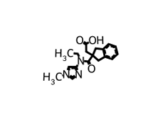 CCN(C(=O)C1(CC(=O)O)Cc2ccccc2C1)c1cn(C)cn1